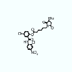 CC(C)(C)C1CC(=O)N(CCCCCC(=O)Oc2ccc(Cl)cc2C(=O)Nc2ccc([N+](=O)[O-])cc2Cl)C1=O